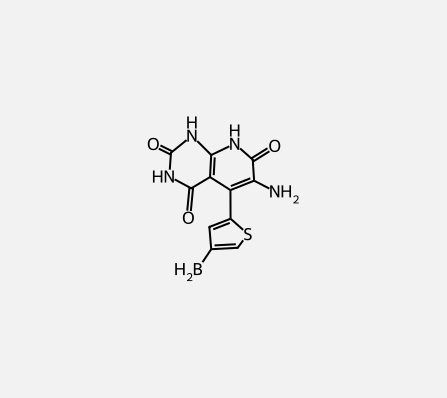 Bc1csc(-c2c(N)c(=O)[nH]c3[nH]c(=O)[nH]c(=O)c23)c1